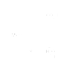 COc1cc(C(=O)O)c(I)cc1Br.O.[Li+].[OH-]